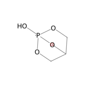 O[P]12OCC(CO1)CO2